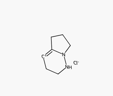 [C+]1=C2CCCN2NCC1.[Cl-]